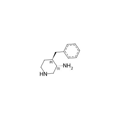 N[C@@H]1CNCC[C@H]1Cc1ccccc1